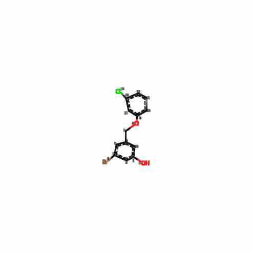 Oc1cc(Br)cc(COc2cccc(Cl)c2)c1